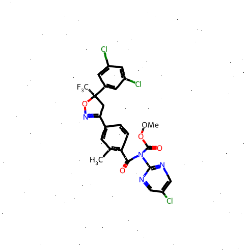 COOC(=O)N(C(=O)c1ccc(C2=NOC(c3cc(Cl)cc(Cl)c3)(C(F)(F)F)C2)cc1C)c1ncc(Cl)cn1